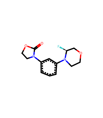 O=C1O[CH]CN1c1cccc(N2CCOC[C@@H]2F)c1